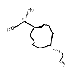 C[C@@H](O)[C@H]1CC[C@H](CN)CC1